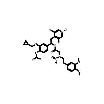 COc1ccc(CCN(CC(=O)OC(Cc2c(Cl)c[n+]([O-])cc2Cl)c2ccc(OC(F)F)c(OCC3CC3)c2)[SH](=O)=O)cc1OC